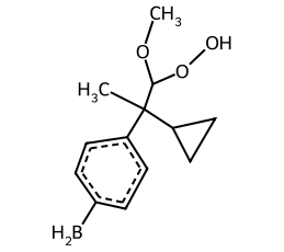 Bc1ccc(C(C)(C2CC2)C(OC)OO)cc1